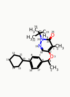 Cc1c(OC(C)c2ccc(C3CCCCC3)cc2)cnn(C(C)(C)C)c1=O